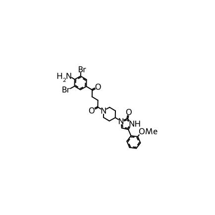 COc1ccccc1-c1cn(C2CCN(C(=O)CCC(=O)c3cc(Br)c(N)c(Br)c3)CC2)c(=O)[nH]1